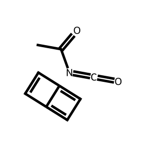 CC(=O)N=C=O.c1cc2ccc1-2